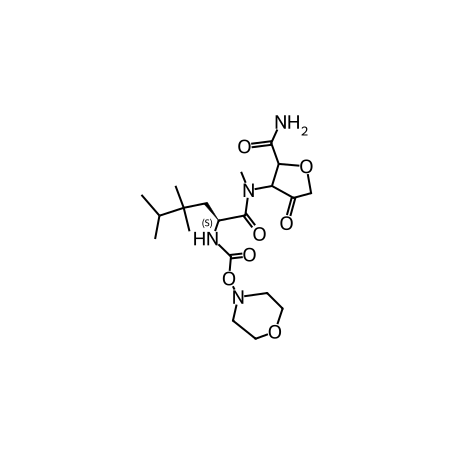 CC(C)C(C)(C)C[C@H](NC(=O)ON1CCOCC1)C(=O)N(C)C1C(=O)COC1C(N)=O